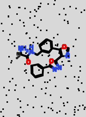 C[C@H](N)C(=O)NCc1cccc(-c2ocnc2-c2nnc(-c3ccccc3)o2)c1